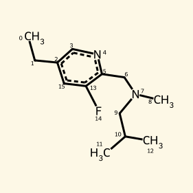 CCc1cnc(CN(C)CC(C)C)c(F)c1